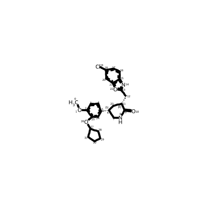 COc1ccc([C@H]2CNC(=O)[C@@H](Cc3nc4ccc(Cl)cc4o3)C2)cc1OC1CCCC1